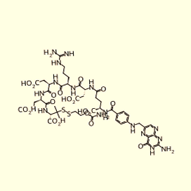 CC(C)(SSCCOC(N)=O)[C@@H](NC(=O)[C@@H](CC(=O)O)NC(=O)[C@@H](CC(=O)O)NC(=O)[C@@H](CCCNC(=N)N)NC(=O)[C@@H](CC(=O)O)NC(=O)CC[C@@H](NC(=O)c1ccc(NCc2cnc3nc(N)[nH]c(=O)c3n2)cc1)C(=O)O)C(=O)O